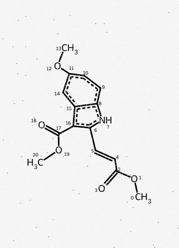 COC(=O)C=Cc1[nH]c2ccc(OC)cc2c1C(=O)OC